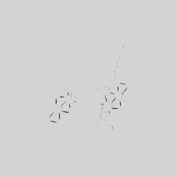 CCCCCCCCCCC(CCCCCCCn1c(=O)c2ccc3sc4ccccc4c4ccc(c1=O)c2c34)c1cc2c(=O)n(CC(CC)CCCC)c(=O)c3ccc4oc5ccccc5c1c4c32